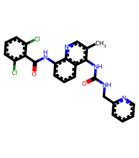 Cc1cnc2c(NC(=O)c3c(Cl)cccc3Cl)cccc2c1NC(=O)NCc1ccccn1